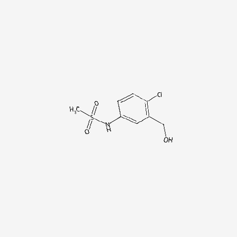 CS(=O)(=O)Nc1ccc(Cl)c(CO)c1